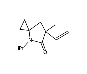 C=CC1(C)CC2(CC2)N(C(C)C)C1=O